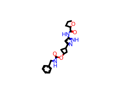 O=C(NCc1ccccc1)OC1CC(c2cc(NC(=O)C3CCCO3)[nH]n2)C1